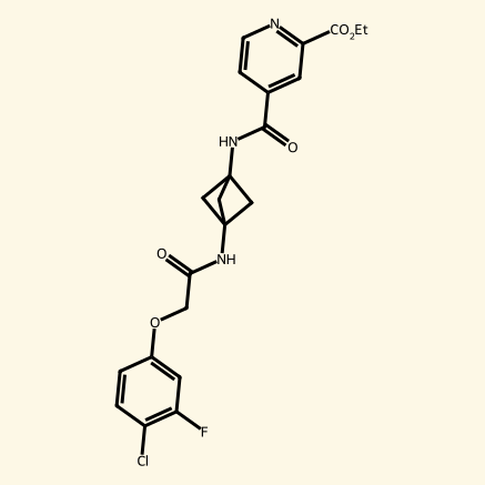 CCOC(=O)c1cc(C(=O)NC23CC(NC(=O)COc4ccc(Cl)c(F)c4)(C2)C3)ccn1